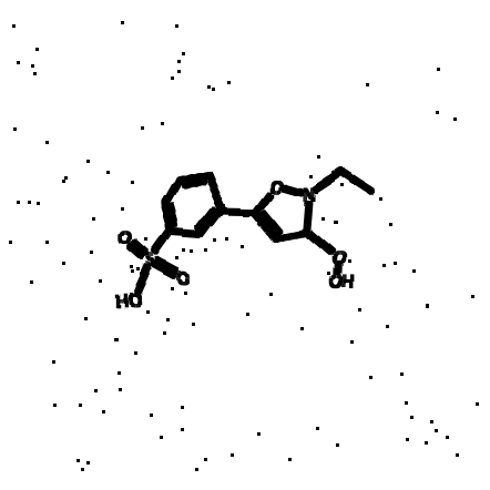 CCN1OC(c2cccc(S(=O)(=O)O)c2)=CC1OO